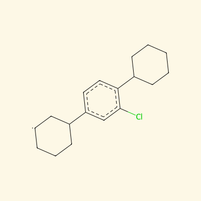 Clc1cc(C2C[CH]CCC2)ccc1C1CCCCC1